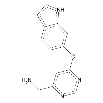 NCc1cc(Oc2ccc3cc[nH]c3c2)ncn1